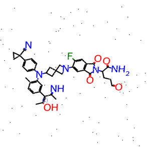 CC(=N)/C(=C(/C)O)c1ccc(C)c(N(c2ccc(C3(C#N)CC3)cc2)C2CC3(C2)CN(c2cc4c(cc2F)C(=O)N(C(CCC=O)C(N)=O)C4=O)C3)c1